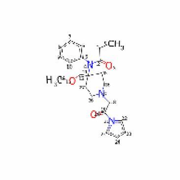 CCC(=O)N(c1ccccc1)C1(COC)CCN(CC(=O)n2cccc2)CC1